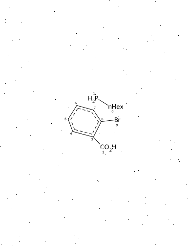 CCCCCCP.O=C(O)c1ccccc1Br